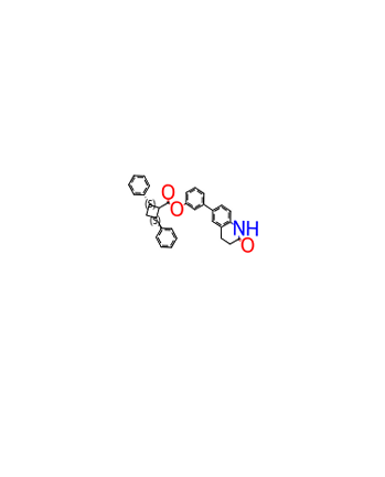 O=C1CCc2cc(-c3cccc(OC(=O)C4[C@@H](c5ccccc5)C[C@@H]4c4ccccc4)c3)ccc2N1